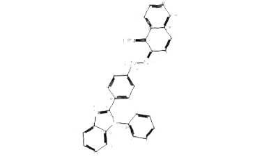 N=C1/C(=N\Nc2ccc(-c3nc4ccccc4n3-c3ccccc3)cc2)C=Cc2ccccc21